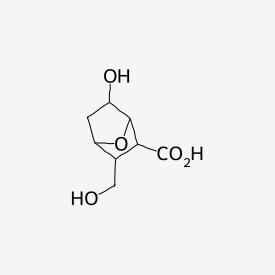 O=C(O)C1C(CO)C2CC(O)C1O2